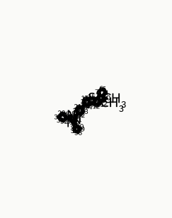 CC1(C)c2ccccc2-c2c1ccc1c2sc2ccc(-c3ccc(-c4nc(-c5ccccc5)nc(-c5ccccc5)n4)cc3)cc21